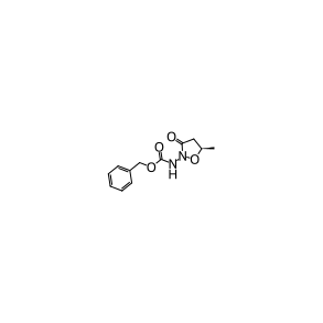 C[C@@H]1CC(=O)N(NC(=O)OCc2ccccc2)O1